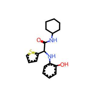 O=C(NC1CCCCC1)C(Nc1ccccc1O)c1cccs1